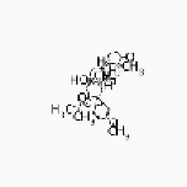 COc1ccc2c(c1)C21C[C@]2(C)[C@H]3CC[C@]4(C)C(=O)CC[C@H]4[C@@H]3CC[C@@]2(O)CC12OCC(C)(C)CO2